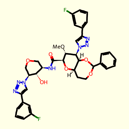 CO[C@@H]1[C@@H](n2cc(-c3cccc(F)c3)nn2)[C@H]2OC(c3ccccc3)OCC[C@H]2O[C@H]1C(=O)N[C@@H]1COC[C@H](n2cc(-c3cccc(F)c3)nn2)[C@H]1O